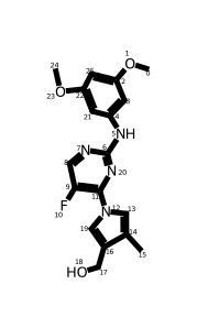 COc1cc(Nc2ncc(F)c(-n3cc(C)c(CO)c3)n2)cc(OC)c1